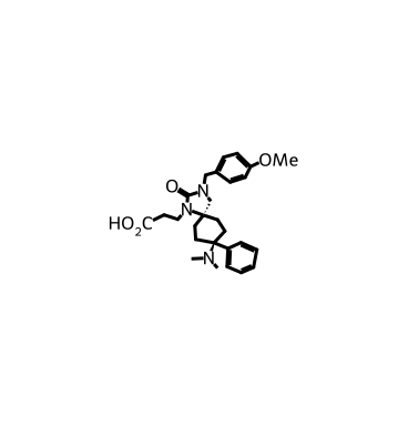 COc1ccc(CN2C[C@]3(CC[C@](c4ccccc4)(N(C)C)CC3)N(CCC(=O)O)C2=O)cc1